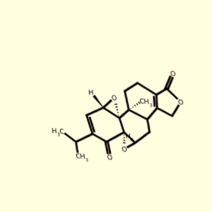 CC(C)C1=C[C@@H]2O[C@@]23[C@@]2(C)CCC4=C(COC4=O)C2C[C@@H]2O[C@@]23C1=O